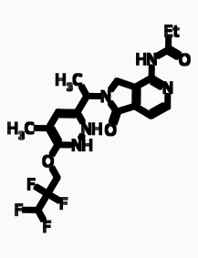 CCC(=O)Nc1nccc2c1CN(C(C)C1=CC(C)=C(OCC(F)(F)C(F)F)NN1)C2=O